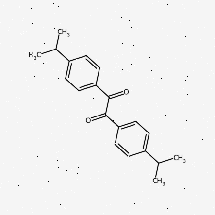 CC(C)c1ccc(C(=O)C(=O)c2ccc(C(C)C)cc2)cc1